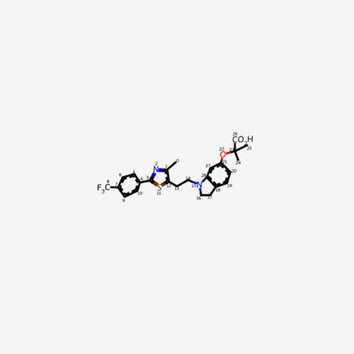 Cc1nc(-c2ccc(C(F)(F)F)cc2)sc1CCN1CCc2ccc(OC(C)(C)C(=O)O)cc21